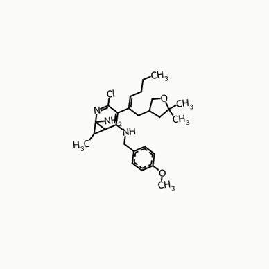 CCC/C=C(\CC1COC(C)(C)C1)C1=C(NCc2ccc(OC)cc2)C2C(C)C2(N)N=C1Cl